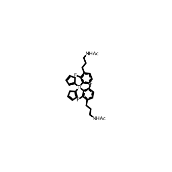 CC(=O)NCCCc1ccc(F)[c]([Ti]([C]2=CC=CC2)([C]2=CC=CC2)[c]2c(F)ccc(CCCNC(C)=O)c2F)c1F